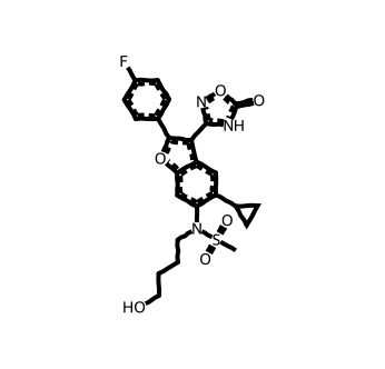 CS(=O)(=O)N(CCCCO)c1cc2oc(-c3ccc(F)cc3)c(-c3noc(=O)[nH]3)c2cc1C1CC1